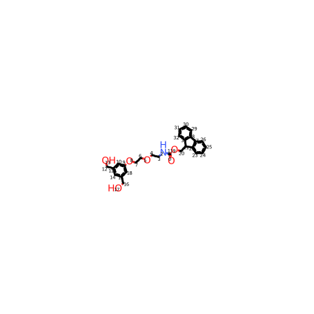 O=C(NCCOCCOc1cc(CO)cc(CO)c1)OCC1c2ccccc2-c2ccccc21